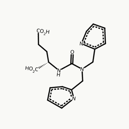 O=C(O)CC[C@H](NC(=O)N(Cc1ccccn1)Cc1ccccn1)C(=O)O